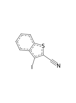 N#Cc1sc2ccccc2c1I